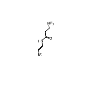 CC/C=C/NC(=O)CCN